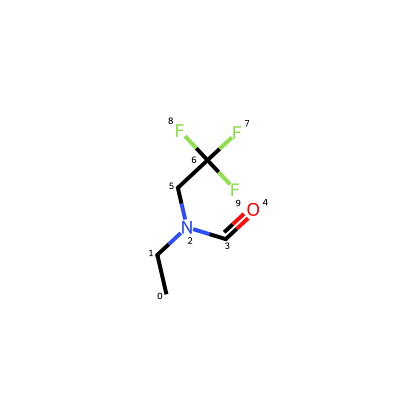 CCN(C=O)CC(F)(F)F